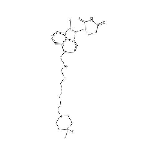 O=C1CCC(N2C(=O)c3cccc4c(CNCCCCCCCN5CCC(F)(F)CC5)ccc2c34)C(=O)N1